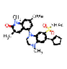 COc1cc(N2CCN(C)c3cc(C4=CCCC4)c(S(=O)(=O)NC(C)=O)cc32)c2cc(C)c(=O)n(C)c2c1